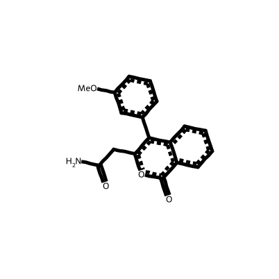 COc1cccc(-c2c(CC(N)=O)oc(=O)c3ccccc23)c1